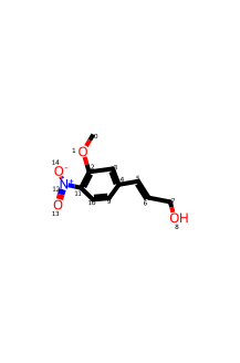 COc1cc(C=CCO)ccc1[N+](=O)[O-]